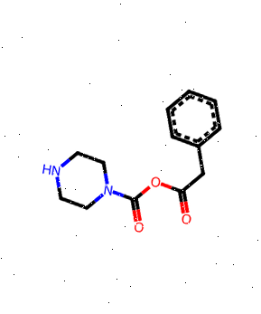 O=C(Cc1ccccc1)OC(=O)N1CCNCC1